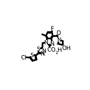 Cc1cc(F)c(C(=O)N2CC(O)C2)c2nc(C(=O)O)n(Cc3nnc(-c4ccc(Cl)s4)s3)c12